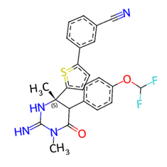 CN1C(=N)N[C@](C)(c2ccc(-c3cccc(C#N)c3)s2)C(c2ccc(OC(F)F)cc2)C1=O